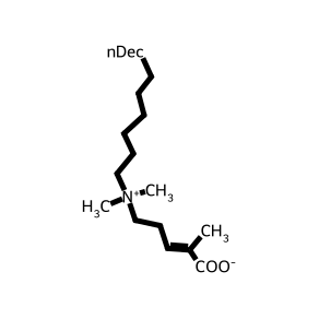 CCCCCCCCCCCCCCCC[N+](C)(C)CCC=C(C)C(=O)[O-]